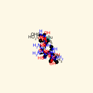 CCCC[C@@H](C(O)N1C[C@@H](O)C[C@@H]1C(=O)N[C@H](C=O)CC(=O)O)N(C)C(=O)[C@H](Cc1ccccc1)N(C)C(=O)[C@H](Cc1cc(F)c(F)c(F)c1)NC(=O)CSC[C@H](NC(=O)[C@H](CCCN)NC(=O)[C@H](Cc1ccc(O)cc1)NC(=O)[C@H](Cc1c[nH]c2ccccc12)NC(=O)[C@H]1C[C@H](O)CN1C(=O)[C@H](Cc1ccc(O)cc1)NC(=O)[C@H](Cc1ccccc1)N(C)C(=O)[C@@H](N)C(C)C)C(=O)NCC(N)O